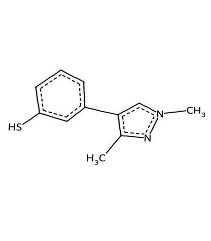 Cc1nn(C)cc1-c1cccc(S)c1